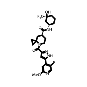 COc1cc(-c2cc(C(=O)N3CC[C@H](C(=O)N[C@H]4CCC[C@@](O)(C(F)(F)F)C4)CC34CC4)n[nH]2)c(F)cn1